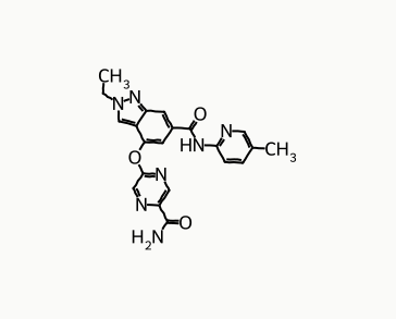 CCn1cc2c(Oc3cnc(C(N)=O)cn3)cc(C(=O)Nc3ccc(C)cn3)cc2n1